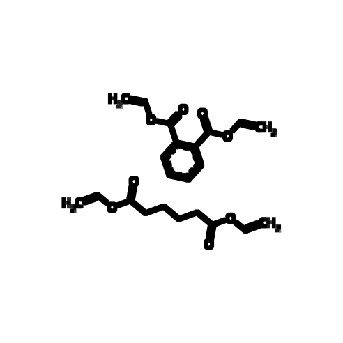 C=COC(=O)CCCCC(=O)OC=C.C=COC(=O)c1ccccc1C(=O)OC=C